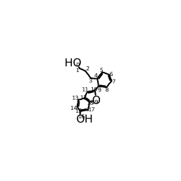 OCCCc1ccccc1-c1cc2ccc(O)cc2o1